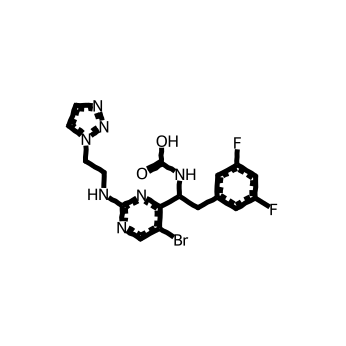 O=C(O)NC(Cc1cc(F)cc(F)c1)c1nc(NCCn2ccnn2)ncc1Br